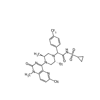 CC[C@@H]1CN(c2nc(=O)n(C)c3ccc(C#N)nc23)[C@@H](C)CN1C(C(=O)NS(=O)(=O)C1CC1)c1ccc(C(F)(F)F)cc1